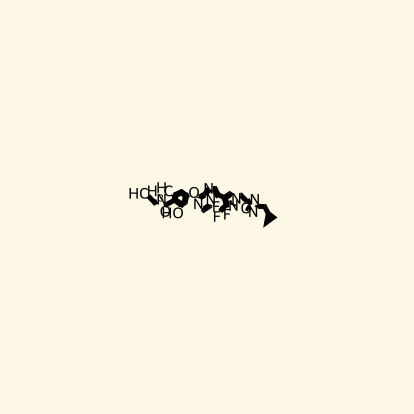 C#CCNC(=O)c1c(C)cc(Oc2nccn3c(-c4cn(Cc5nc(CC6CC6)no5)nc4C(F)(F)F)cnc23)cc1O